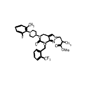 COC(=O)C(C)Cn1cc2c(n1)N(Cc1ccccc1C(F)(F)F)C(=O)N(C1CCN(c3c(C)cccc3F)CC1)C2